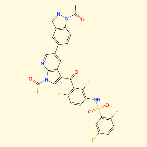 CC(=O)n1cc(C(=O)c2c(F)ccc(NS(=O)(=O)c3cc(F)ccc3F)c2F)c2cc(-c3ccc4c(cnn4C(C)=O)c3)cnc21